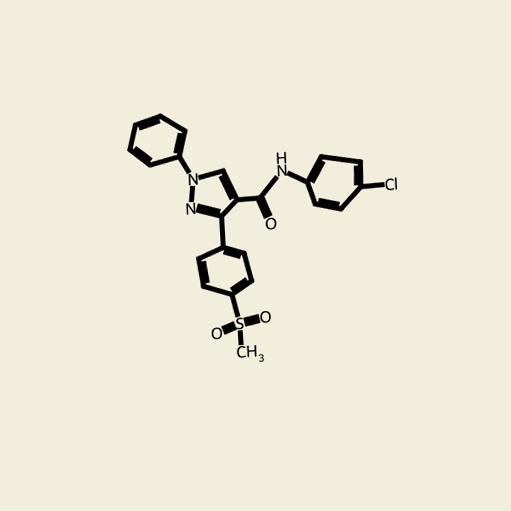 CS(=O)(=O)c1ccc(-c2nn(-c3ccccc3)cc2C(=O)Nc2ccc(Cl)cc2)cc1